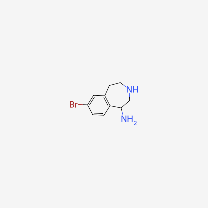 NC1CNCCc2cc(Br)ccc21